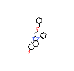 C[C@@H]1C(=O)CC[C@]2(C)c3nc(CCOCc4ccccc4)n(-c4ccccc4)c3CCC12